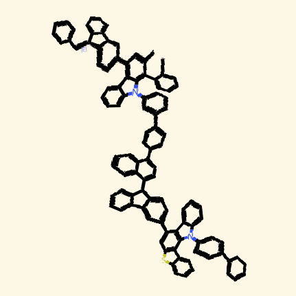 Cc1ccccc1-c1c(C)cc(-c2ccc3c(c2)-c2ccccc2/C3=C\c2ccccc2)c2c3ccccc3n(-c3cccc(-c4ccc(-c5ccc(C6c7ccccc7-c7cc(-c8cc9sc%10ccccc%10c9c9c8c8ccccc8n9-c8ccc(C9=CC=CCC9)cc8)ccc76)c6ccccc56)cc4)c3)c12